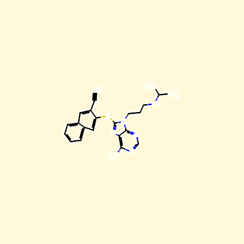 C#Cc1cc2ccccc2cc1Sc1nc2c(N)ncnc2n1CCCNC(C)C